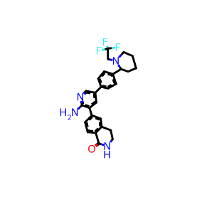 Nc1ncc(-c2ccc(C3CCCCN3CC(F)(F)F)cc2)cc1-c1ccc2c(c1)CCNC2=O